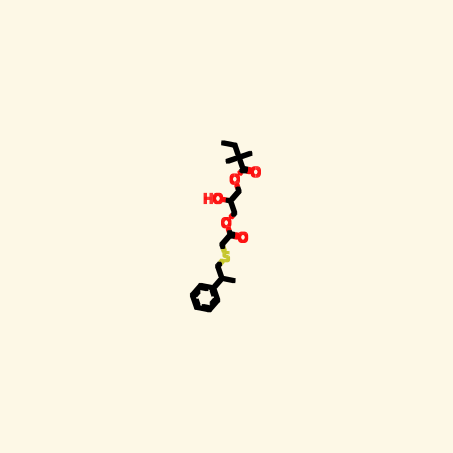 CCC(C)(C)C(=O)OCC(O)COC(=O)CSCC(C)c1ccccc1